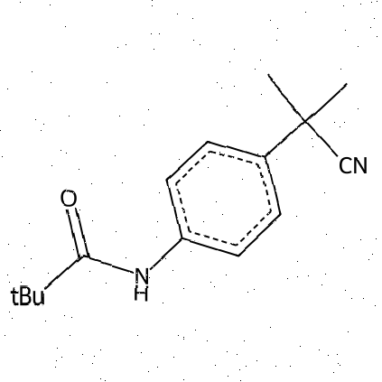 CC(C)(C)C(=O)Nc1ccc(C(C)(C)C#N)cc1